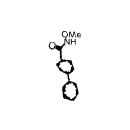 CONC(=O)c1ccc(-c2ccccc2)cc1